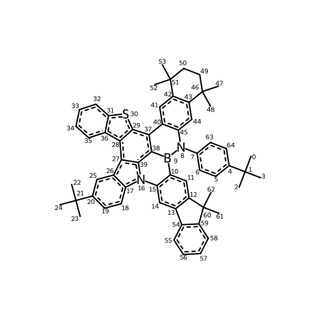 CC(C)(C)c1ccc(N2B3c4cc5c(cc4-n4c6ccc(C(C)(C)C)cc6c6c7c(sc8ccccc87)c(c3c64)-c3cc4c(cc32)C(C)(C)CCC4(C)C)-c2ccccc2C5(C)C)cc1